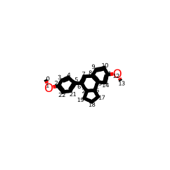 COc1ccc(C2=Cc3ccc(OC)cc3C3CCCC23)cc1